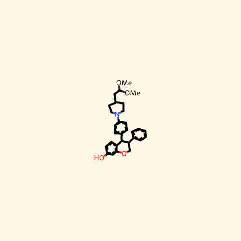 COC(CC1CCN(c2ccc(C3c4ccc(O)cc4OCC3c3ccccc3)cc2)CC1)OC